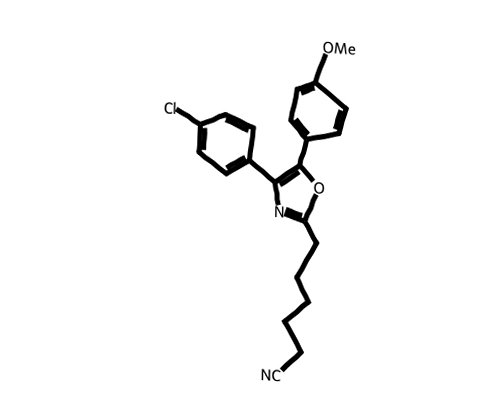 COc1ccc(-c2oc(CCCCCC#N)nc2-c2ccc(Cl)cc2)cc1